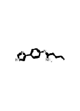 CCCCC(N)=Nc1ccc(-c2c[nH]cn2)cc1